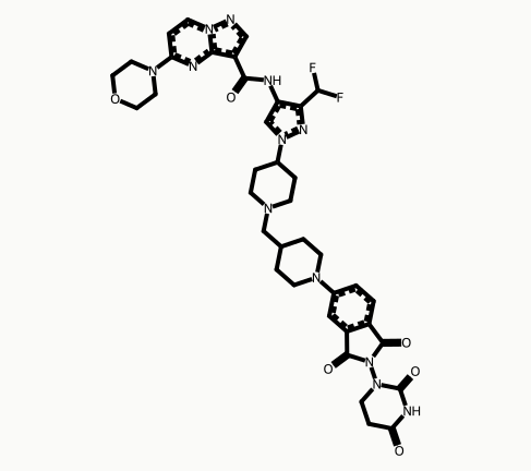 O=C1CCN(N2C(=O)c3ccc(N4CCC(CN5CCC(n6cc(NC(=O)c7cnn8ccc(N9CCOCC9)nc78)c(C(F)F)n6)CC5)CC4)cc3C2=O)C(=O)N1